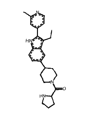 CCc1c(-c2ccnc(C)c2)[nH]c2ccc(C3CCN(C(=O)C4CCCN4)CC3)cc12